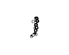 O=COCC(=O)N1CCC2(CCc3cc(-c4ccc5cccnc5c4Cl)ccc3O2)CC1